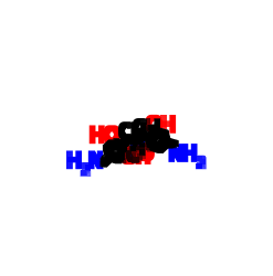 CC(=O)ON=C(C(C)c1c(O)cc(CN)cc1O)C(C)c1c(O)cc(CN)cc1O